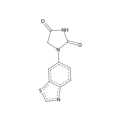 O=C1CN(c2ccc3ncsc3c2)C(=O)N1